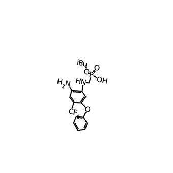 CCC(C)OP(=O)(O)CNc1cc(Oc2ccccc2)c(C(F)(F)F)cc1N